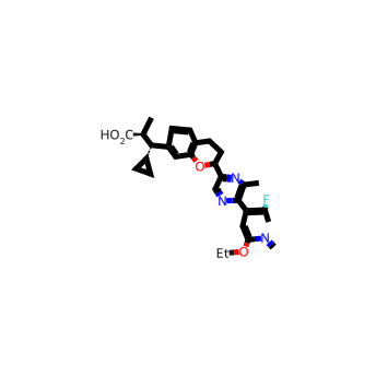 C=N/C(=C\C(=C(/C)F)c1ncc(C2CCc3ccc([C@H](C4CC4)[C@H](C)C(=O)O)cc3O2)nc1C)OCC